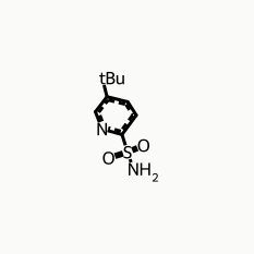 CC(C)(C)c1ccc(S(N)(=O)=O)nc1